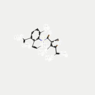 C=C(C)c1ccc(C)c(NC(=S)c2csc(C(=C)C)c2C)c1/C=C\C